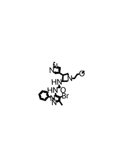 COCCN1CC(NC(=O)Nc2c(Br)c(C)nn2-c2ccccc2)C(c2cnn(C)c2)C1